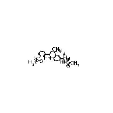 CC1(C)CC(c2cccc(S(C)(=O)=O)c2)Nc2ccc(C(=O)NS(C)(=O)=O)cc21